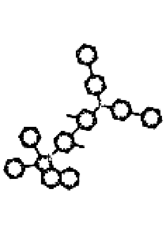 Cc1cc(N(c2ccc(-c3ccccc3)cc2)c2ccc(-c3ccccc3)cc2)ccc1-c1ccc(-n2c(-c3ccccc3)c(-c3ccccc3)c3ccc4ccccc4c32)cc1C